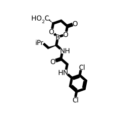 CC(C)C[C@H](NC(=O)CNc1cc(Cl)ccc1Cl)B1OC(=O)C[C@@H](C(=O)O)O1